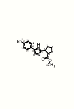 COC(=O)C1CCCC1c1ncc(-c2ccc(Br)cc2)[nH]1